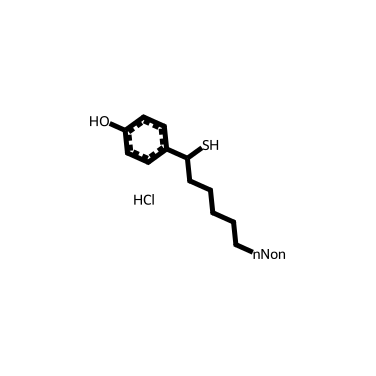 CCCCCCCCCCCCCCC(S)c1ccc(O)cc1.Cl